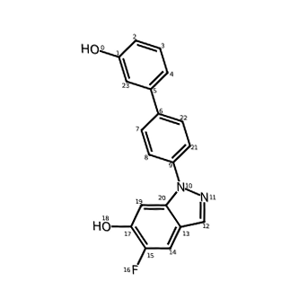 Oc1cccc(-c2ccc(-n3ncc4cc(F)c(O)cc43)cc2)c1